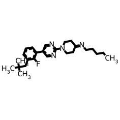 CCCCCN=C1CCN(c2ncc(-c3cccc(CC(C)(C)C)c3F)cn2)CC1